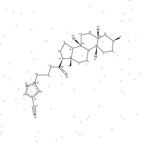 C[C@H]1CC[C@@H]2C3CC[C@@]4(C)C(CC[C@@H]4C(=O)CCCn4cc(C#N)cn4)[C@@H]3CC[C@@H]2C1